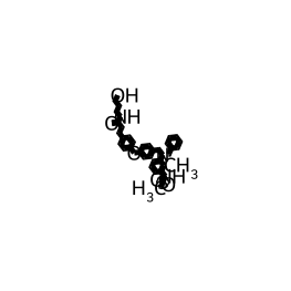 Cc1c(NS(C)(=O)=O)cccc1N(Cc1ccccc1)Cc1ccc(Oc2ccc(CCC(=O)NCCCO)cc2)cc1